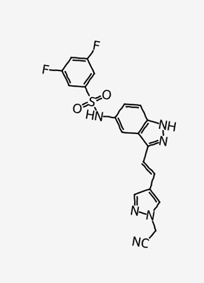 N#CCn1cc(C=Cc2n[nH]c3ccc(NS(=O)(=O)c4cc(F)cc(F)c4)cc23)cn1